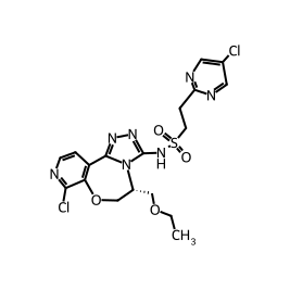 CCOC[C@@H]1COc2c(ccnc2Cl)-c2nnc(NS(=O)(=O)CCc3ncc(Cl)cn3)n21